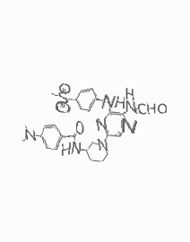 CN(C)c1ccc(C(=O)N[C@@H]2CCCN(c3cnc(NC=O)c(Nc4ccc(S(C)(=O)=O)cc4)n3)C2)cc1